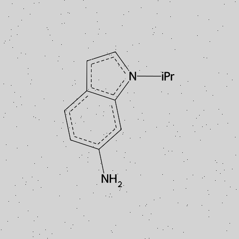 CC(C)n1ccc2ccc(N)cc21